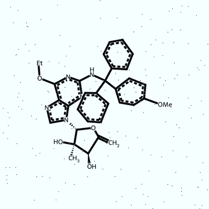 C=C1O[C@@H](n2cnc3c(OCC)nc(NC(c4ccccc4)(c4ccccc4)c4ccc(OC)cc4)nc32)[C@](C)(O)[C@@H]1O